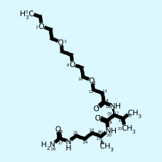 CCOCCOCCOCCOCCC(=O)N[C@H](C(=O)N[C@H](C)CCCNC(N)=O)C(C)C